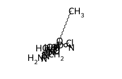 C=N[C@]1(COP(=O)(O)OC[C@@H](COCCCCCCCCCCCCCCCCCC)OCc2ccc(C#N)c(Cl)c2)O[C@@H](c2ccc3c(N)ncnn23)[C@H](O)[C@@H]1O